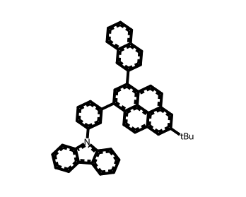 CC(C)(C)c1cc2ccc3c(-c4cccc(-n5c6ccccc6c6ccccc65)c4)cc(-c4ccc5ccccc5c4)c4ccc(c1)c2c34